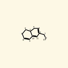 FCC1=CCC2CCC=CC2=C1